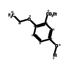 CCOC(=O)c1cc(OCC)ccc1OCC(F)(F)F